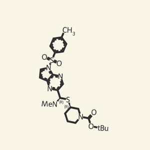 CN[C@H](S[C@@H]1CCCN(C(=O)OC(C)(C)C)C1)c1cnc2c(ccn2S(=O)(=O)c2ccc(C)cc2)n1